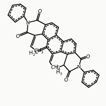 C=c1/c(=C/C)c2c3c(ccc2c2ccc4c(c12)/C(=C\C)C(=O)N(c1ccccc1)C4=O)C(=O)N(c1ccccc1)C(=O)C3C